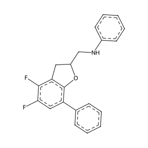 Fc1cc(-c2ccccc2)c2c(c1F)CC(CNc1ccccc1)O2